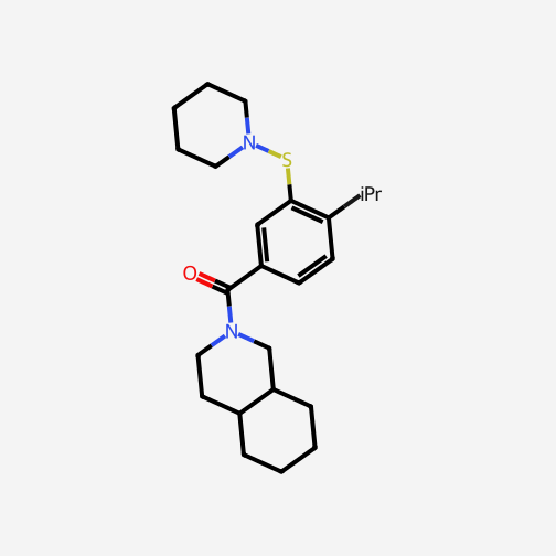 CC(C)c1ccc(C(=O)N2CCC3CCCCC3C2)cc1SN1CCCCC1